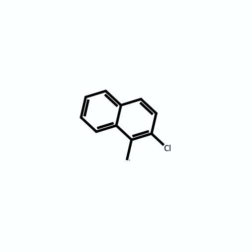 [CH2]c1c(Cl)ccc2ccccc12